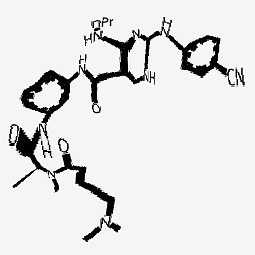 CCCNC1=NC(Nc2ccc(C#N)cc2)NC=C1C(=O)Nc1cccc(NC(=O)[C@H](C)N(C)C(=O)/C=C/CN(C)C)c1